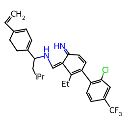 C=CC1=CC=C(C(CC(C)C)N/C=C2\C(=N)C=CC(c3ccc(C(F)(F)F)cc3Cl)=C2CC)CC1